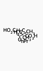 CCCOC(CCC(=O)O)C(C)(C)C(C)(C)C(=O)O